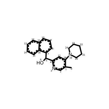 Cc1cnc(C(O)c2cccc3ccccc23)cc1N1CCCCC1